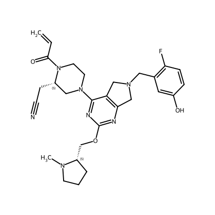 C=CC(=O)N1CCN(c2nc(OC[C@@H]3CCCN3C)nc3c2CN(Cc2cc(O)ccc2F)C3)C[C@@H]1CC#N